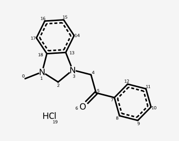 CN1CN(CC(=O)c2ccccc2)c2ccccc21.Cl